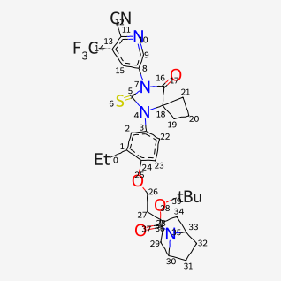 CCc1cc(N2C(=S)N(c3cnc(C#N)c(C(F)(F)F)c3)C(=O)C23CCC3)ccc1OCCC1CC2CCC(C1)N2C(=O)OC(C)(C)C